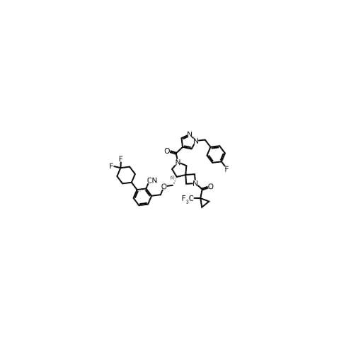 N#Cc1c(COC[C@@H]2CN(C(=O)c3cnn(Cc4ccc(F)cc4)c3)CC23CN(C(=O)C2(C(F)(F)F)CC2)C3)cccc1C1CCC(F)(F)CC1